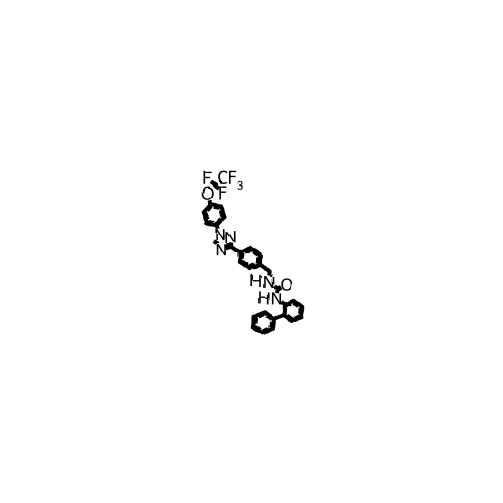 O=C(NCc1ccc(-c2ncn(-c3ccc(OC(F)(F)C(F)(F)F)cc3)n2)cc1)Nc1ccccc1-c1ccccc1